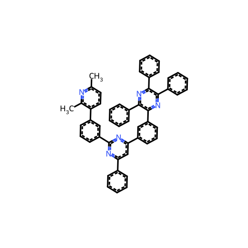 Cc1ccc(-c2cccc(-c3nc(-c4ccccc4)cc(-c4cccc(-c5nc(-c6ccccc6)c(-c6ccccc6)nc5-c5ccccc5)c4)n3)c2)c(C)n1